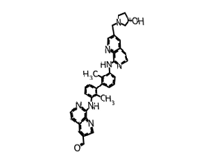 Cc1c(Nc2nccc3cc(C=O)cnc23)cccc1-c1cccc(Nc2nccc3cc(CN4CC[C@@H](O)C4)cnc23)c1C